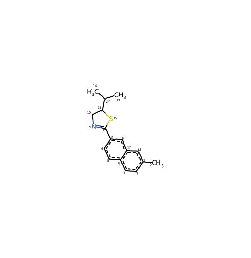 Cc1ccc2ccc(C3=NCC(C(C)C)S3)cc2c1